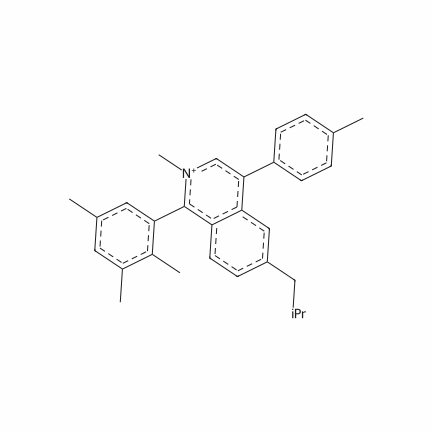 Cc1ccc(-c2c[n+](C)c(-c3cc(C)cc(C)c3C)c3ccc(CC(C)C)cc23)cc1